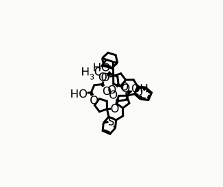 CC1C2C=CC(CC2)C1C1(OC(=O)CC(=O)O)CCC(Cc2c(C3(OC(=O)CC(=O)O)CCC(CC4C5C=CC(S5)C4C4(OC(=O)CC(=O)O)CCCC4)C3)c3ccc2o3)C1